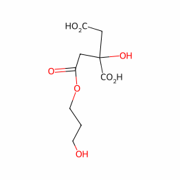 O=C(O)CC(O)(CC(=O)OCCCO)C(=O)O